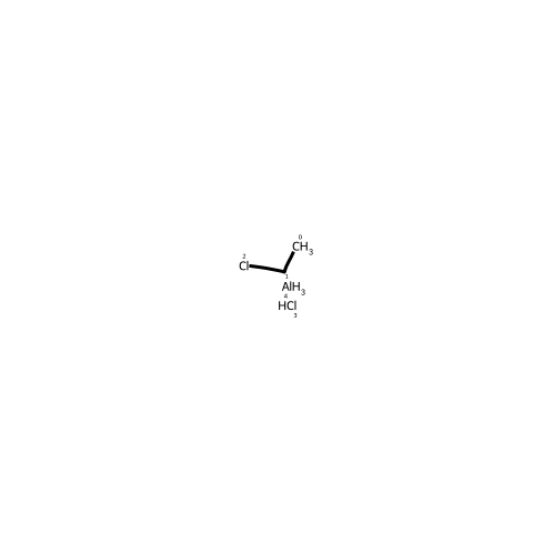 CCCl.Cl.[AlH3]